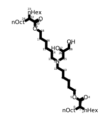 CCCCCCCCC(CCCCCC)C(=O)OCCCCCCN(CCCCCCOC(=O)C(CCCCCC)CCCCCCCC)CC(O)CO